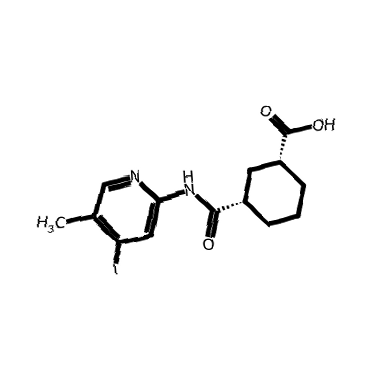 Cc1cnc(NC(=O)[C@H]2CCC[C@@H](C(=O)O)C2)cc1I